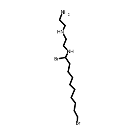 NCCNCCNC(Br)CCCCCCCCCBr